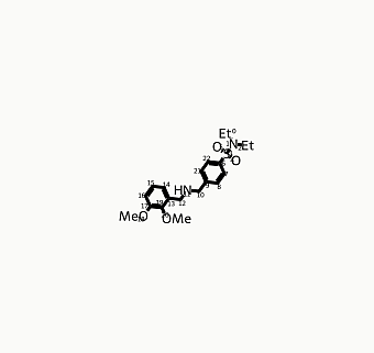 CCN(CC)S(=O)(=O)c1ccc(CNCc2cccc(OC)c2OC)cc1